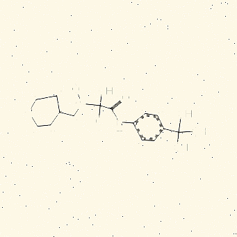 CC(C)(C)c1ccc(NC(=O)C(C)(C)[S+]([O-])CC2CCOCC2)cc1